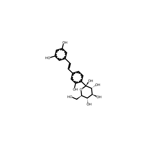 OC[C@H]1O[C@](O)(c2ccc(/C=C/c3cc(O)cc(O)c3)cc2O)[C@H](O)[C@@H](O)[C@@H]1O